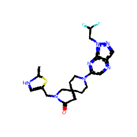 CC1NC=C(CN2CC3(CCN(c4cnc5cnn(CC(F)F)c5n4)CC3)CC2=O)S1